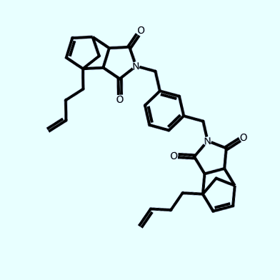 C=CCCC12C=CC(C1)C1C(=O)N(Cc3cccc(CN4C(=O)C5C6C=CC(CCC=C)(C6)C5C4=O)c3)C(=O)C12